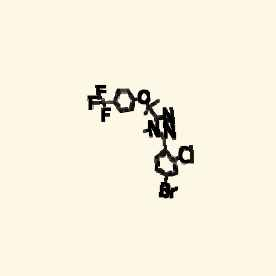 Cn1c(-c2ccc(Br)cc2Cl)nnc1C(C)(C)Oc1ccc(C(F)(F)F)cc1